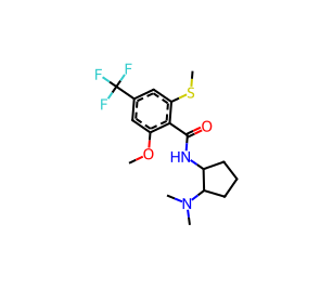 COc1cc(C(F)(F)F)cc(SC)c1C(=O)NC1CCCC1N(C)C